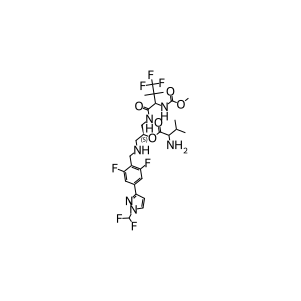 COC(=O)NC(C(=O)NC[C@H](CNCc1c(F)cc(-c2ccn(C(F)F)n2)cc1F)OC(=O)C(N)C(C)C)C(C)(C)C(F)(F)F